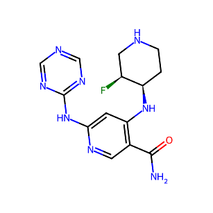 NC(=O)c1cnc(Nc2ncncn2)cc1N[C@@H]1CCNC[C@@H]1F